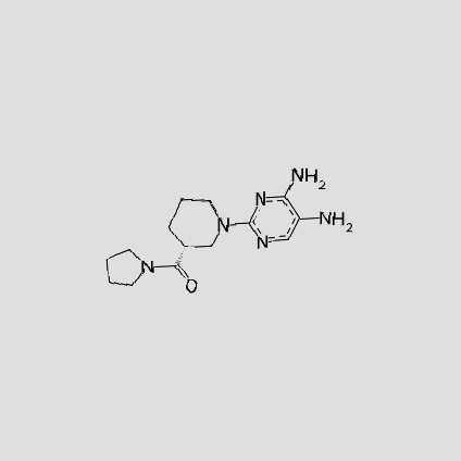 Nc1cnc(N2CCC[C@@H](C(=O)N3CCCC3)C2)nc1N